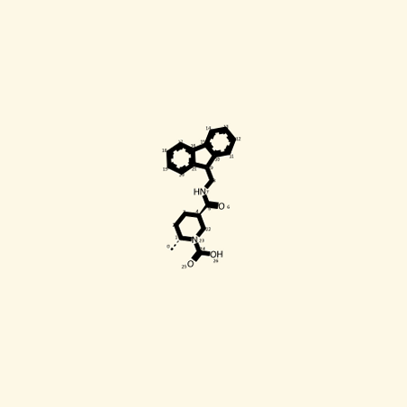 C[C@@H]1CC[C@@H](C(=O)NCC2c3ccccc3-c3ccccc32)CN1C(=O)O